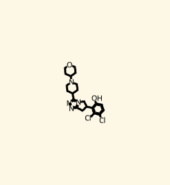 Oc1ccc(Cl)c(Cl)c1C1Cc2nnc(C3CCN(C4CCOCC4)CC3)n2C1